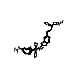 Cc1ccc(S(=O)(=O)NC2Cc3ccc(CCC(=O)C(=O)O)cc3C2)cc1